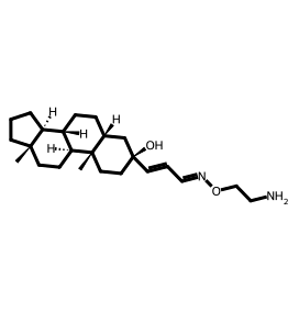 C[C@@]12CCC[C@H]1[C@@H]1CC[C@@H]3C[C@](O)(/C=C/C=N/OCCN)CC[C@]3(C)[C@H]1CC2